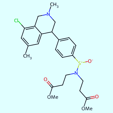 COC(=O)CCN(CCC(=O)OC)[S+]([O-])c1ccc(C2CN(C)Cc3c(Cl)cc(C)cc32)cc1